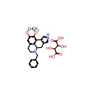 COc1cc2c3c(c1OC)-c1c[nH]cc1CC3N(Cc1ccccc1)CC2.O=C(O)C(O)C(O)C(=O)O